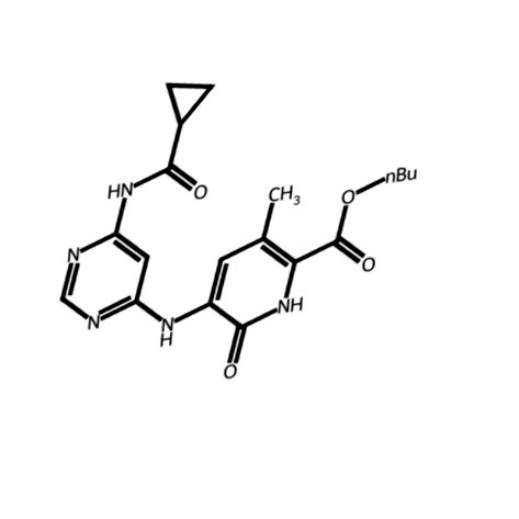 CCCCOC(=O)c1[nH]c(=O)c(Nc2cc(NC(=O)C3CC3)ncn2)cc1C